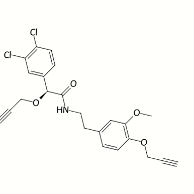 C#CCOc1ccc(CCNC(=O)[C@@H](OCC#C)c2ccc(Cl)c(Cl)c2)cc1OC